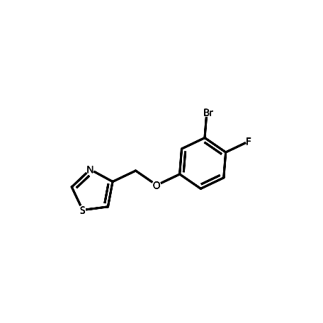 Fc1ccc(OCc2cscn2)cc1Br